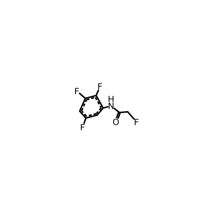 O=C(CF)Nc1cc(F)cc(F)c1F